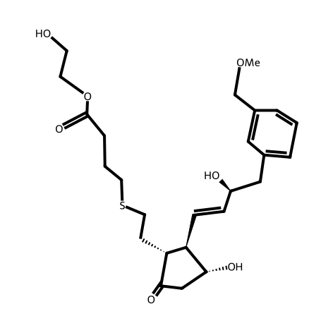 COCc1cccc(C[C@H](O)/C=C/[C@H]2[C@H](O)CC(=O)[C@@H]2CCSCCCC(=O)OCCO)c1